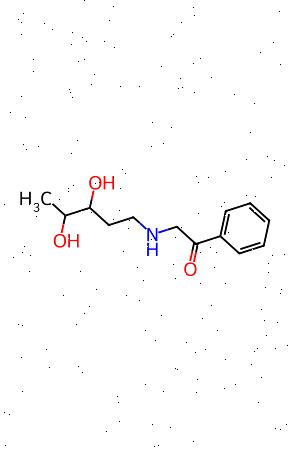 CC(O)C(O)CCNCC(=O)c1ccccc1